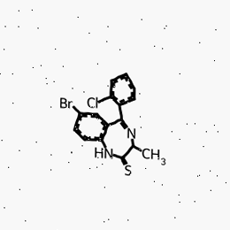 CC1N=C(c2ccccc2Cl)c2cc(Br)ccc2NC1=S